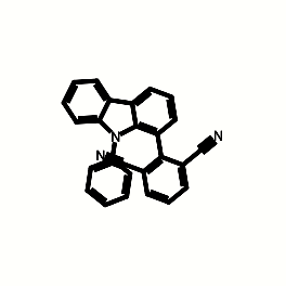 N#Cc1cccc(C#N)c1-c1cccc2c3ccccc3n(-c3ccccc3)c12